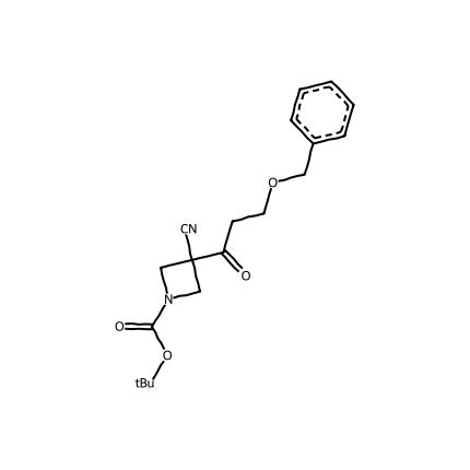 CC(C)(C)OC(=O)N1CC(C#N)(C(=O)CCOCc2ccccc2)C1